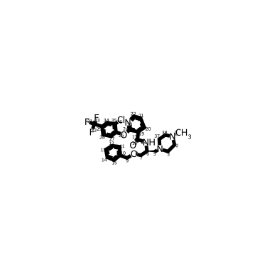 CN1CCN(C[C@@H](COCc2ccccc2)NC(=O)c2cccnc2Oc2ccc(C(F)(F)F)cc2Cl)CC1